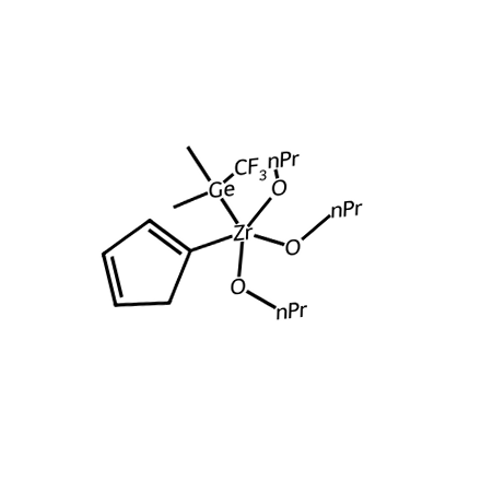 CCC[O][Zr]([O]CCC)([O]CCC)([C]1=CC=CC1)[Ge]([CH3])([CH3])[C](F)(F)F